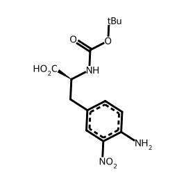 CC(C)(C)OC(=O)N[C@@H](Cc1ccc(N)c([N+](=O)[O-])c1)C(=O)O